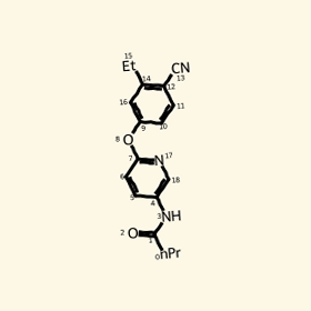 CCCC(=O)Nc1ccc(Oc2ccc(C#N)c(CC)c2)nc1